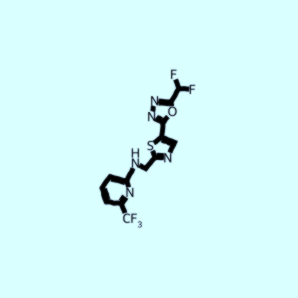 FC(F)c1nnc(-c2cnc(CNc3cccc(C(F)(F)F)n3)s2)o1